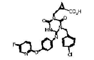 O=C(O)[C@@H]1CC1Cn1c(=O)[nH]c(=Nc2ccc(Oc3ccc(F)cn3)cc2)n(Cc2ccc(Cl)cc2)c1=O